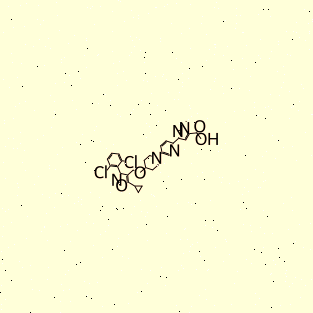 Cn1nc(-c2ccc(N3CCC(OCc4c(-c5c(Cl)cccc5Cl)noc4C4CC4)CC3)cn2)cc1C(=O)O